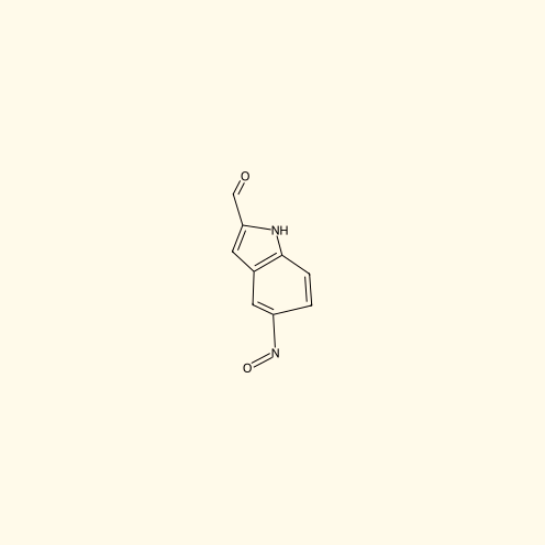 O=Cc1cc2cc(N=O)ccc2[nH]1